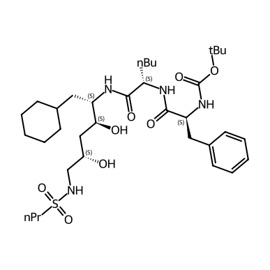 CCCC[C@H](NC(=O)[C@H](Cc1ccccc1)NC(=O)OC(C)(C)C)C(=O)N[C@@H](CC1CCCCC1)[C@@H](O)C[C@H](O)CNS(=O)(=O)CCC